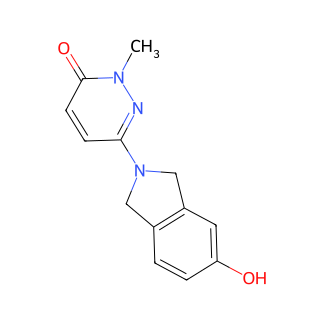 Cn1nc(N2Cc3ccc(O)cc3C2)ccc1=O